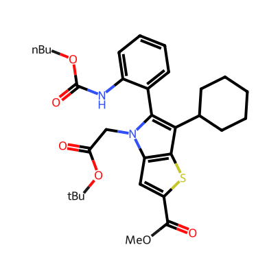 CCCCOC(=O)Nc1ccccc1-c1c(C2CCCCC2)c2sc(C(=O)OC)cc2n1CC(=O)OC(C)(C)C